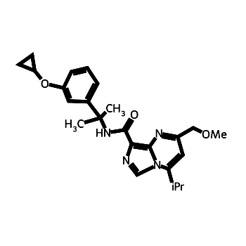 COCc1cc(C(C)C)n2cnc(C(=O)NC(C)(C)c3cccc(OC4CC4)c3)c2n1